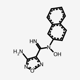 N=C(c1nonc1N)N(O)c1ccc2ccccc2c1